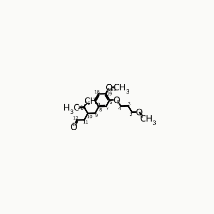 COCCCOc1cc(CC(CC=O)C(C)C)ccc1OC